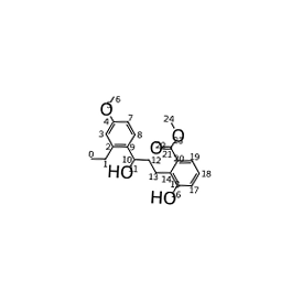 CCc1cc(OC)ccc1C(O)CCc1c(O)cccc1C(=O)OC